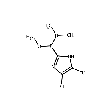 COP(c1nc(Cl)c(Cl)[nH]1)N(C)C